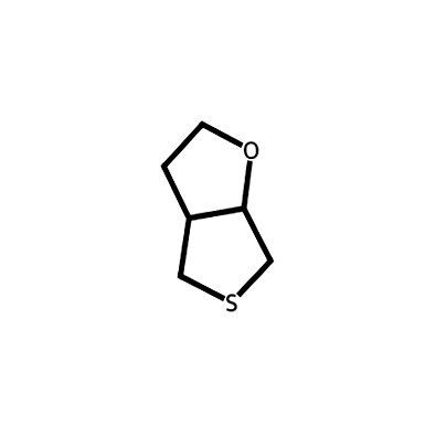 C1CC2CSCC2O1